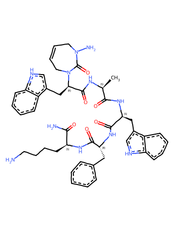 C[C@H](NC(=O)[C@@H](Cc1c[nH]c2ccccc12)N1CC=CCN(N)C1=O)C(=O)N[C@@H](Cc1c[nH]c2ccccc12)C(=O)N[C@H](Cc1ccccc1)C(=O)N[C@@H](CCCCN)C(N)=O